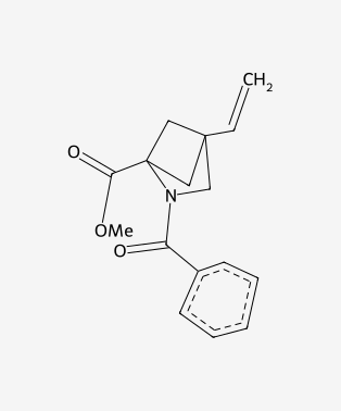 C=CC12CN(C(=O)c3ccccc3)C(C(=O)OC)(C1)C2